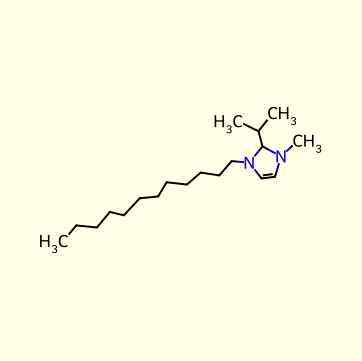 CCCCCCCCCCCCN1C=CN(C)C1C(C)C